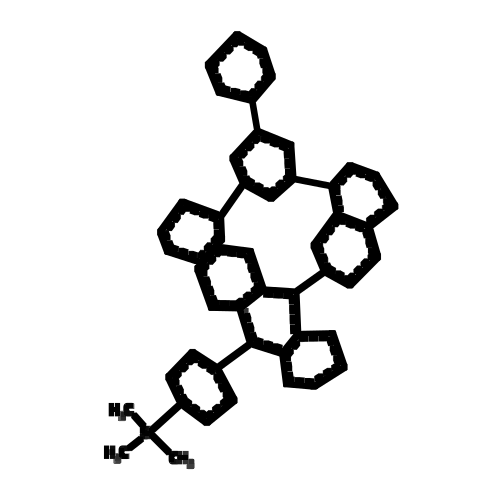 C[Si](C)(C)c1ccc(-c2c3ccccc3c(-c3ccc4cccc(-c5cc(-c6ccccc6)cc(-c6ccccc6)c5)c4c3)c3ccccc23)cc1